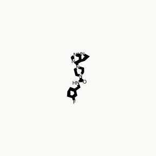 O=C(NCc1cccc(F)c1)N1CCN(c2ncnc3[nH]ccc23)CC1